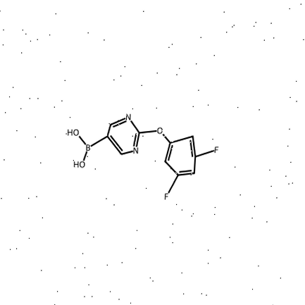 OB(O)c1cnc(Oc2cc(F)cc(F)c2)nc1